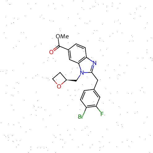 COC(=O)c1ccc2nc(Cc3ccc(Br)c(F)c3)n(C[C@@H]3CCO3)c2c1